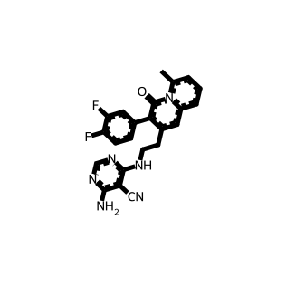 Cc1cccc2cc(CCNc3ncnc(N)c3C#N)c(-c3ccc(F)c(F)c3)c(=O)n12